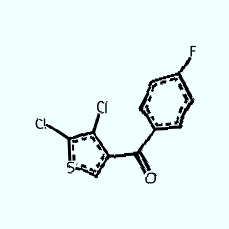 O=C(c1ccc(F)cc1)c1csc(Cl)c1Cl